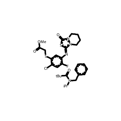 CC(C)N(Cc1ccccc1)C(=O)C(C)(C)C.COC(=O)CSc1cc(/N=c2\sc(=O)n3n2CCCC3)c(F)cc1Cl